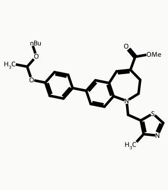 CCCCOC(C)Oc1ccc(-c2ccc3c(c2)C=C(C(=O)OC)CCN3Cc2scnc2C)cc1